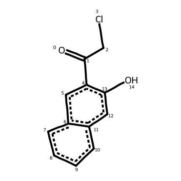 O=C(CCl)c1cc2ccccc2cc1O